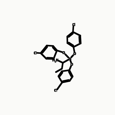 CCC(N)[Si](Oc1ccc(Cl)cc1)(Oc1ccc(Cl)cc1)Oc1ccc(Cl)cc1